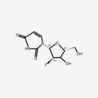 O=c1ccn([C@@H]2O[C@H](CO)C(O)[C@H]2F)c(=O)[nH]1